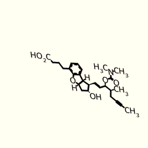 CC#CC[C@H](C)[C@@H](/C=C/[C@@H]1[C@H]2c3cccc(CCCC(=O)O)c3O[C@H]2C[C@H]1O)OC(=O)N(C)C